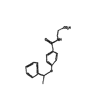 CC(Oc1ccc(C(=O)NCC(=O)O)cc1)c1ccccc1